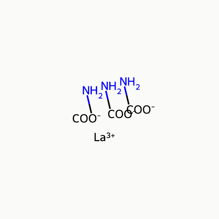 NC(=O)[O-].NC(=O)[O-].NC(=O)[O-].[La+3]